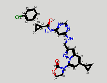 O=C(Nc1cc(NCc2cc3cc(C4CC4)cc(N4CCOC4=O)n3n2)ncn1)[C@H]1C[C@@H]1c1cccc(Cl)c1